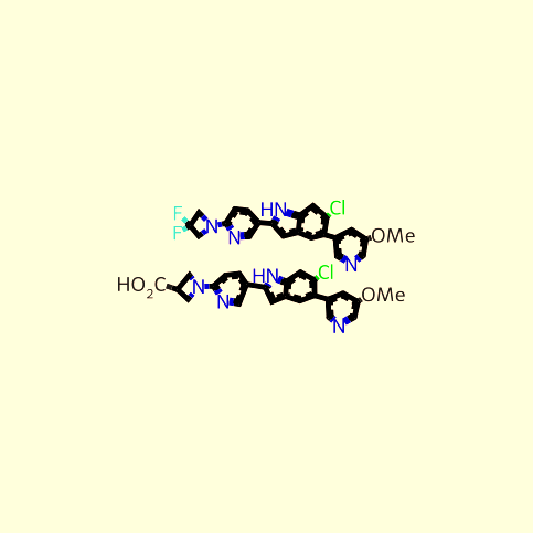 COc1cncc(-c2cc3cc(-c4ccc(N5CC(C(=O)O)C5)nc4)[nH]c3cc2Cl)c1.COc1cncc(-c2cc3cc(-c4ccc(N5CC(F)(F)C5)nc4)[nH]c3cc2Cl)c1